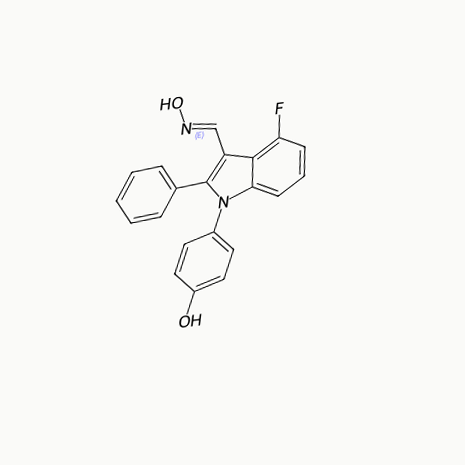 O/N=C/c1c(-c2ccccc2)n(-c2ccc(O)cc2)c2cccc(F)c12